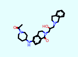 CC(=O)N1CCCC(Nc2ccc3c(c2)CCN(CC(O)CN2CCc4ccccc4C2)C3=O)CC1